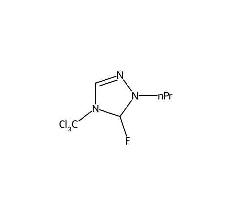 CCCN1N=CN(C(Cl)(Cl)Cl)C1F